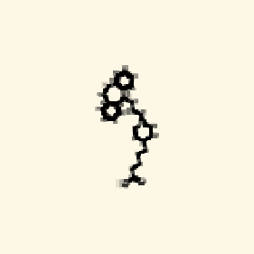 O=C(O)CCCCC1CCN(CCCC2c3ccccc3CCc3ccccc32)CC1